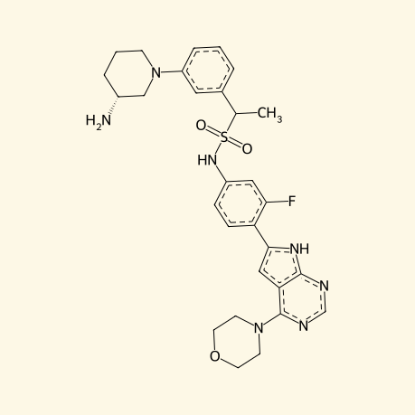 CC(c1cccc(N2CCC[C@@H](N)C2)c1)S(=O)(=O)Nc1ccc(-c2cc3c(N4CCOCC4)ncnc3[nH]2)c(F)c1